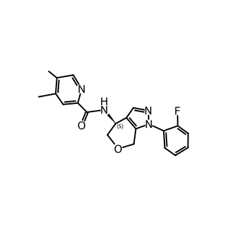 Cc1cnc(C(=O)N[C@@H]2COCc3c2cnn3-c2ccccc2F)cc1C